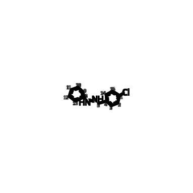 Clc1ccc(CNNc2ccccc2)cc1